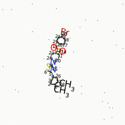 Cc1ccc(-c2csc(N3CCC(S(=O)(=O)c4ccc(Br)cc4)CC3)n2)cc1C